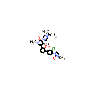 Cc1c(-c2cc(F)cc(-c3ccc(-n4ccn(C)c4=O)c(Cl)c3)c2O)cn(C)c(=O)c1N1CCN(C(C)C)CC1